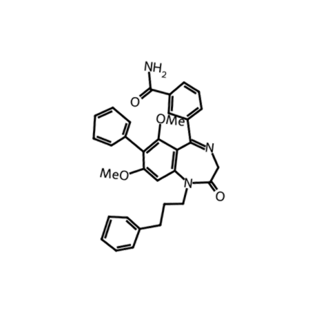 COc1cc2c(c(OC)c1-c1ccccc1)C(c1cccc(C(N)=O)c1)=NCC(=O)N2CCCc1ccccc1